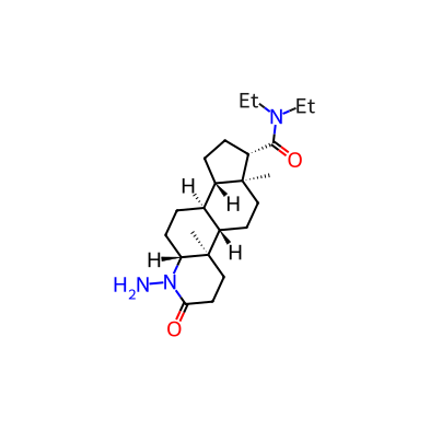 CCN(CC)C(=O)[C@H]1CC[C@H]2[C@@H]3CC[C@H]4N(N)C(=O)CC[C@]4(C)[C@H]3CC[C@]12C